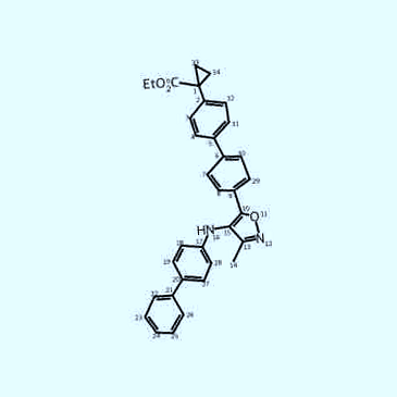 CCOC(=O)C1(c2ccc(-c3ccc(-c4onc(C)c4Nc4ccc(-c5ccccc5)cc4)cc3)cc2)CC1